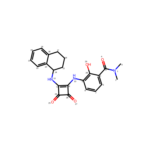 CN(C)C(=O)c1cccc(Nc2c(NC3CCCc4ccccc43)c(=O)c2=O)c1O